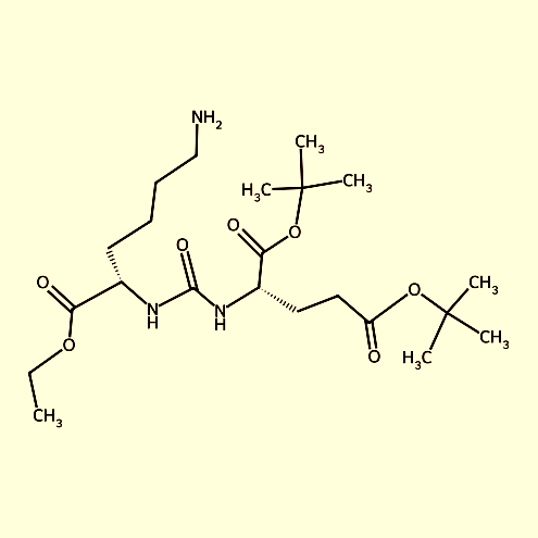 CCOC(=O)[C@H](CCCCN)NC(=O)N[C@@H](CCC(=O)OC(C)(C)C)C(=O)OC(C)(C)C